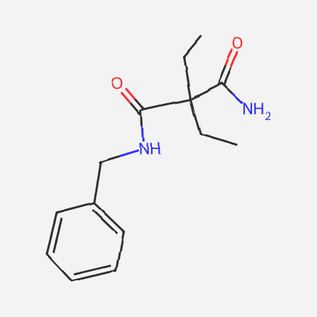 CCC(CC)(C(N)=O)C(=O)NCc1ccccc1